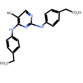 CCOC(=O)Cc1ccc(Nc2ncc(C#N)c(Nc3ccc(CC(=O)OCC)cc3)n2)cc1